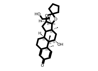 C[C@]12[C@@H](O)C[C@@]3(C)C(C[C@H]4OC5(CCCC5)O[C@]43C(=O)CO)[C@@H]1CCC1=CC(=O)C=C[C@@]12C